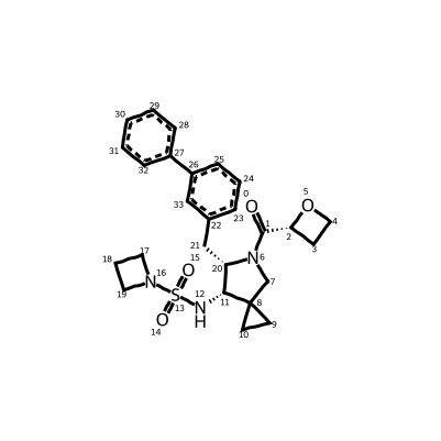 O=C([C@H]1CCO1)N1CC2(CC2)[C@H](NS(=O)(=O)N2CCC2)[C@@H]1Cc1cccc(-c2ccccc2)c1